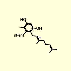 CCCCCc1c(C)c(O)cc(O)c1C/C=C(\C)CCC=C(C)C